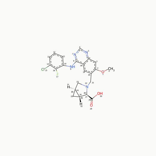 COc1cc2ncnc(Nc3cccc(Cl)c3F)c2cc1CN1C[C@@H]2C[C@H]2[C@@H]1C(=O)O